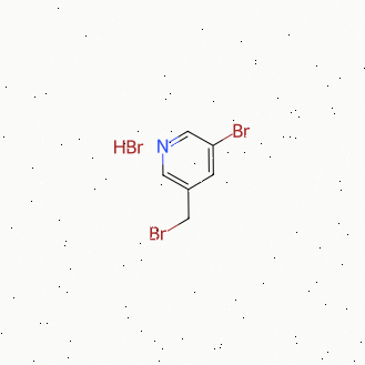 Br.BrCc1cncc(Br)c1